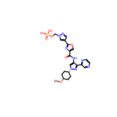 CCO[C@H]1CC[C@H](n2cc(NC(=O)c3coc(-c4cnn(COP(=O)(O)O)c4)n3)c(-c3cnccn3)n2)CC1